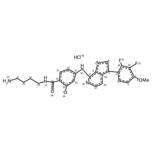 COc1ccc(-c2cnc3c(Nc4ccc(C(=O)NCCCCN)c(Cl)c4)nccn23)c(F)c1F.Cl